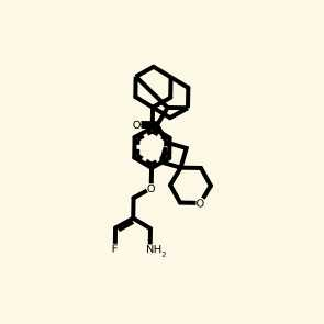 NC/C(=C\F)COc1ccc(C23CC4CC(C2)C(C(=O)N2CC5(CCOCC5)C2)C(C4)C3)cc1